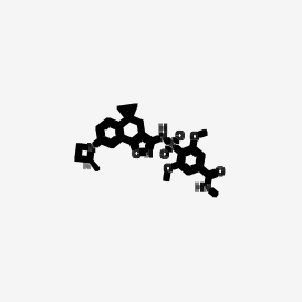 CNC(=O)c1cc(OC)c(S(=O)(=O)Nc2noc3c2CC2(CC2)c2ccc(N4CC[C@@H]4C)cc2-3)c(OC)c1